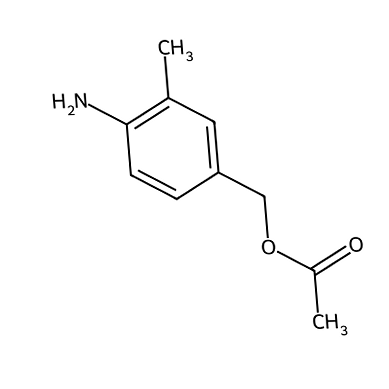 CC(=O)OCc1ccc(N)c(C)c1